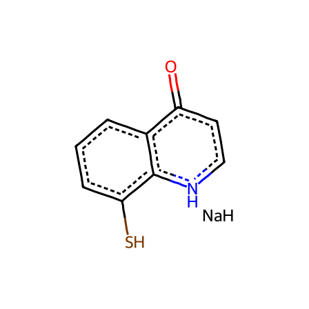 O=c1cc[nH]c2c(S)cccc12.[NaH]